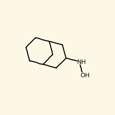 ONC1CC2CCCC(C2)C1